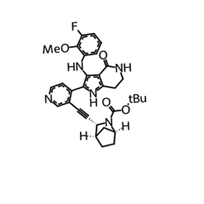 COc1c(F)cccc1Nc1c(-c2ccncc2C#C[C@H]2[C@@H]3CC[C@@H](C3)N2C(=O)OC(C)(C)C)[nH]c2c1C(=O)NCC2